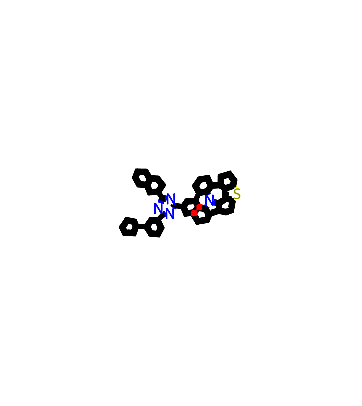 c1ccc(-c2cccc(-c3nc(-c4cccc(-c5cccc6c7cccc8sc9ccc%10c%11ccccc%11n(c56)c%10c9c87)c4)nc(-c4ccc5ccccc5c4)n3)c2)cc1